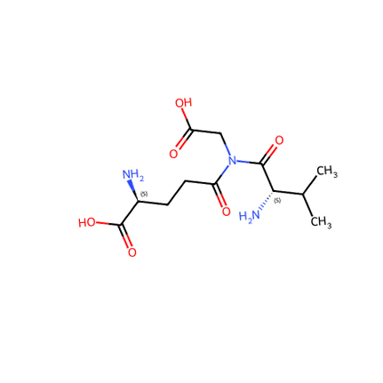 CC(C)[C@H](N)C(=O)N(CC(=O)O)C(=O)CC[C@H](N)C(=O)O